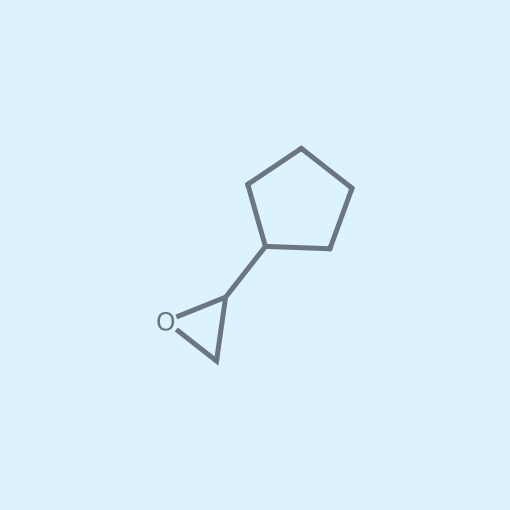 C1CCC(C2CO2)C1